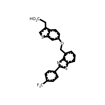 O=C(O)Cc1csc2cc(OCc3cccc4sc(-c5ccc(C(F)(F)F)cc5)nc34)ccc12